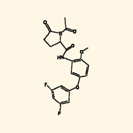 COc1ccc(Oc2cc(F)cc(F)c2)cc1NC(=O)C1CCC(=O)N1C(C)=O